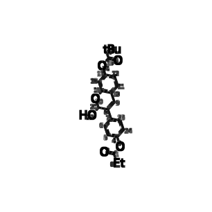 CCC(=O)Oc1ccc(C2=Cc3ccc(OC(=O)C(C)(C)C)cc3OC2O)cc1